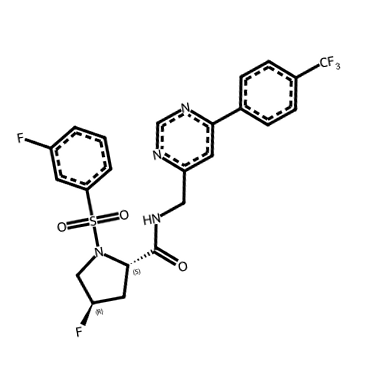 O=C(NCc1cc(-c2ccc(C(F)(F)F)cc2)ncn1)[C@@H]1C[C@@H](F)CN1S(=O)(=O)c1cccc(F)c1